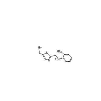 CC(C)Sc1nnc(CNc2ccccc2C(C)(C)C)s1